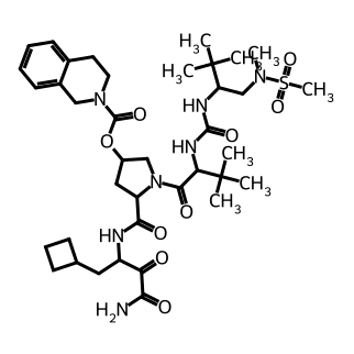 CN(CC(NC(=O)NC(C(=O)N1CC(OC(=O)N2CCc3ccccc3C2)CC1C(=O)NC(CC1CCC1)C(=O)C(N)=O)C(C)(C)C)C(C)(C)C)S(C)(=O)=O